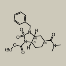 CN(C)C(=O)[C@H]1CC[C@H]2[C@@H](C1)N(Cc1ccccc1)S(=O)(=O)N2C(=O)OC(C)(C)C